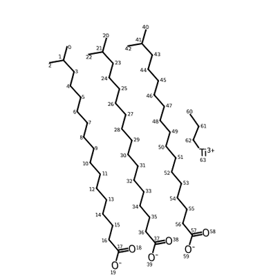 CC(C)CCCCCCCCCCCCCCC(=O)[O-].CC(C)CCCCCCCCCCCCCCC(=O)[O-].CC(C)CCCCCCCCCCCCCCC(=O)[O-].CC[CH2][Ti+3]